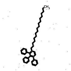 CCCCCCCCCCCCCCCCCCc1ccc(-c2ccccc2)c(-c2ccccc2)c1-c1ccccc1